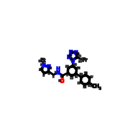 CCn1ccc(CNC(=O)c2cc(-c3ccc(C)cc3)cc(-n3nnnc3C(C)C)c2)n1